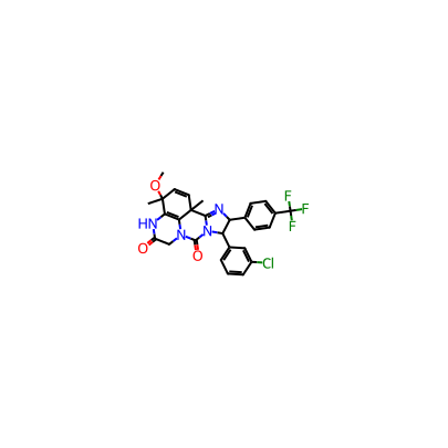 COC1(C)C=CC2(C)C3=NC(c4ccc(C(F)(F)F)cc4)C(c4cccc(Cl)c4)N3C(=O)N3CC(=O)NC1=C32